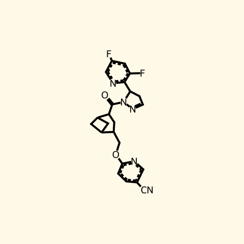 N#Cc1ccc(OCC2CC(C(=O)N3N=CCC3c3ncc(F)cc3F)C3CC2C3)nc1